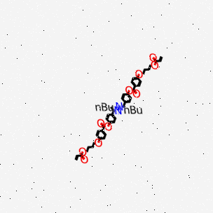 C=CC(=O)OCCCCOc1ccc(C(=O)Oc2ccc(/C(CCCC)=N/N=C(\CCCC)c3ccc(OC(=O)c4ccc(OCCCCOC(=O)C=C)cc4)cc3)cc2)cc1